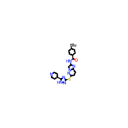 CC(C)(C)c1ccc(C(=O)Nc2cn3nc(Sc4n[nH]c(-c5ccncc5)n4)ccc3n2)cc1